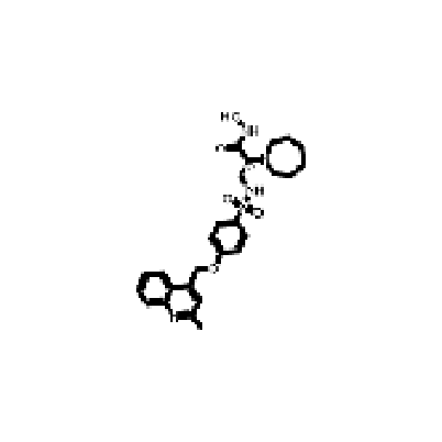 Cc1cc(COc2ccc(S(=O)(=O)NC[C@@H](C(=O)NO)N3CCCCCC3)cc2)c2ccccc2n1